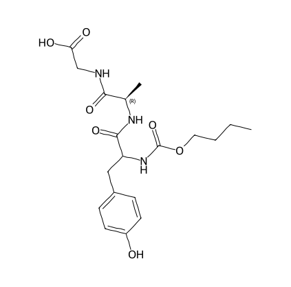 CCCCOC(=O)NC(Cc1ccc(O)cc1)C(=O)N[C@H](C)C(=O)NCC(=O)O